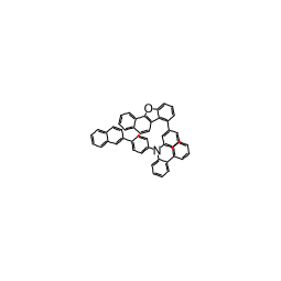 c1ccc(-c2ccccc2N(c2ccc(-c3ccc4ccccc4c3)cc2)c2cccc(-c3cccc4oc5c6ccccc6ccc5c34)c2)cc1